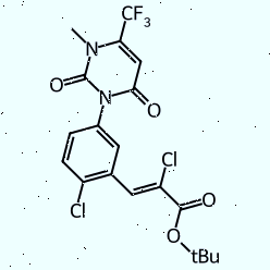 Cn1c(C(F)(F)F)cc(=O)n(-c2ccc(Cl)c(C=C(Cl)C(=O)OC(C)(C)C)c2)c1=O